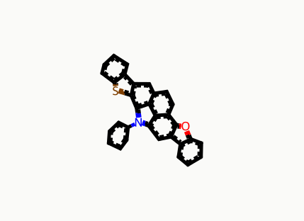 c1ccc(-n2c3cc4c5ccccc5oc4c4ccc5cc6c7ccccc7sc6c2c5c43)cc1